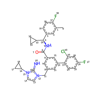 Cc1cc([C@@H](NC(=O)c2cc(Cn3ccn(C4CC4)c3=N)cc(-c3ccc(F)cc3Cl)c2)C2CC2)ccc1F